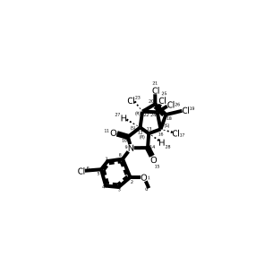 COc1ccc(Cl)cc1N1C(=O)[C@@H]2[C@H](C1=O)[C@]1(Cl)C(Cl)=C(Cl)[C@@]2(Cl)C1(Cl)Cl